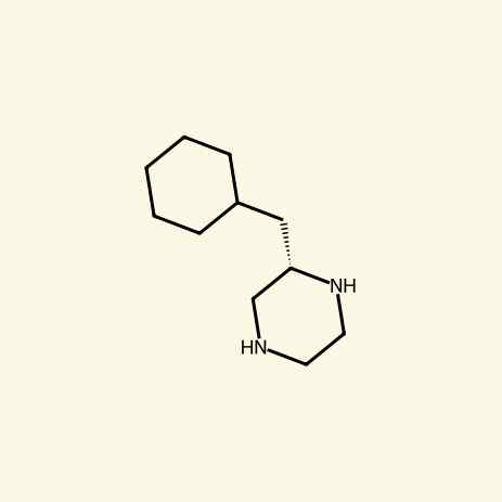 C1CCC(C[C@H]2CNCCN2)CC1